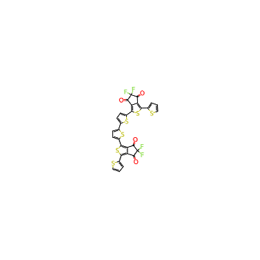 O=C1c2c(-c3cccs3)sc(-c3ccc(-c4ccc(-c5sc(-c6cccs6)c6c5C(=O)C(F)(F)C6=O)s4)s3)c2C(=O)C1(F)F